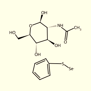 CC(=O)N[C@@H]1[C@@H](O)[C@H](O)[C@@H](CO)O[C@H]1O.[Se]Sc1ccccc1